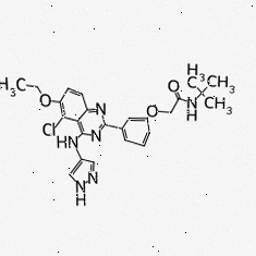 CCOc1ccc2nc(-c3cccc(OCC(=O)NC(C)(C)C)c3)nc(Nc3cn[nH]c3)c2c1Cl